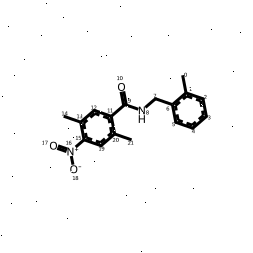 Cc1ccccc1CNC(=O)c1cc(C)c([N+](=O)[O-])cc1C